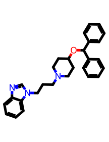 c1ccc(C(OC2CCN(CCCn3cnc4ccccc43)CC2)c2ccccc2)cc1